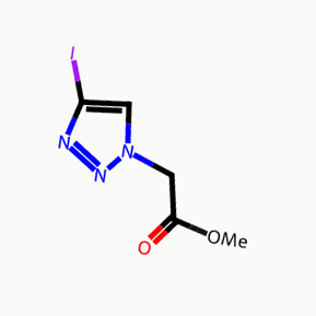 COC(=O)Cn1cc(I)nn1